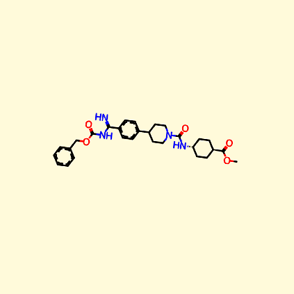 COC(=O)[C@H]1CC[C@H](NC(=O)N2CCC(c3ccc(C(=N)NC(=O)OCc4ccccc4)cc3)CC2)CC1